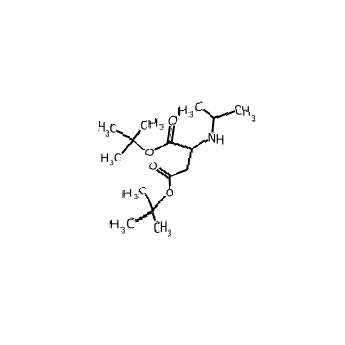 CC(C)NC(CC(=O)OC(C)(C)C)C(=O)OC(C)(C)C